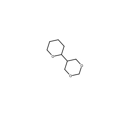 C1CCC(C2COCOC2)OC1